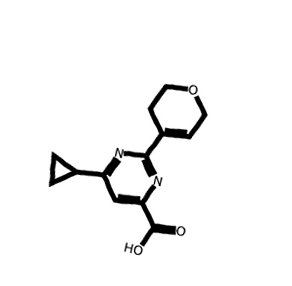 O=C(O)c1cc(C2CC2)nc(C2=CCOCC2)n1